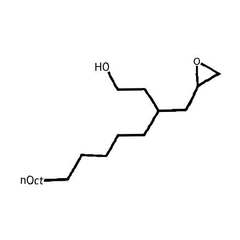 CCCCCCCCCCCCCC(CCO)CC1CO1